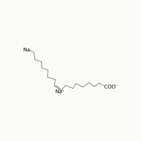 O=C([O-])CCCCCCC/C=C\CCCCCC[CH2][Na].[Na+]